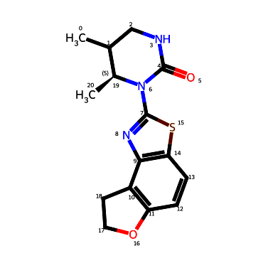 CC1CNC(=O)N(c2nc3c4c(ccc3s2)OCC4)[C@H]1C